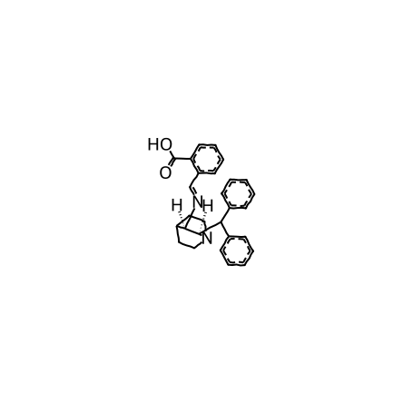 O=C(O)c1ccccc1C=N[C@@H]1C2CCN(CC2)[C@@H]1C(c1ccccc1)c1ccccc1